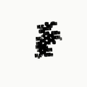 COC1=C(C)C(=O)C2=C(C1=O)[C@H](CNC(=O)C(C)NC(=O)OC(C)(C)C)N1C(C2)[C@H]2c3c(cc(C)c(OC)c3O)C[C@@H]([C@@H]1C#N)N2C